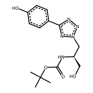 CC(C)(C)OC(=O)N[C@H](CO)Cn1nnc(-c2ccc(O)cc2)n1